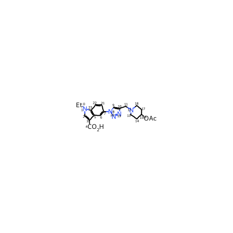 CCn1cc(C(=O)O)c2cc(-n3cc(CN4CCC(OC(C)=O)CC4)nn3)ccc21